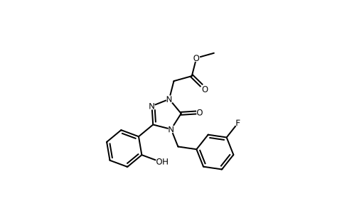 COC(=O)Cn1nc(-c2ccccc2O)n(Cc2cccc(F)c2)c1=O